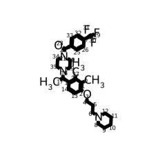 Cc1c(OCCCN2CCCCC2)ccc(C(C)N2CCN(C(=O)c3ccc(C(F)(F)F)cc3)CC2)c1C